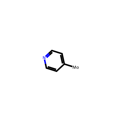 [Mo][c]1ccncc1